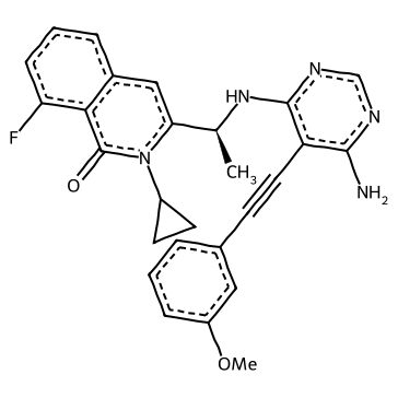 COc1cccc(C#Cc2c(N)ncnc2N[C@@H](C)c2cc3cccc(F)c3c(=O)n2C2CC2)c1